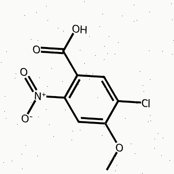 COc1cc([N+](=O)[O-])c(C(=O)O)cc1Cl